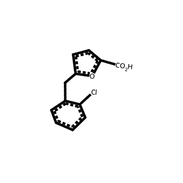 O=C(O)c1ccc(Cc2ccccc2Cl)o1